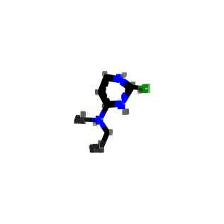 CC(=O)N(CC(C)(C)C)c1ccnc(Cl)n1